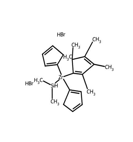 Br.Br.CC1=C(C)C(C)(C)[C]([Zr]([C]2=CC=CC2)([C]2=CC=CC2)[SiH](C)C)=C1C